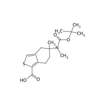 CN(C(=O)OC(C)(C)C)C1(C)CCc2c(csc2C(=O)O)C1